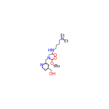 CCN(CC)CCCCNC(=O)CN(Cc1cc(CO)ccn1)C(=O)OC(C)(C)C